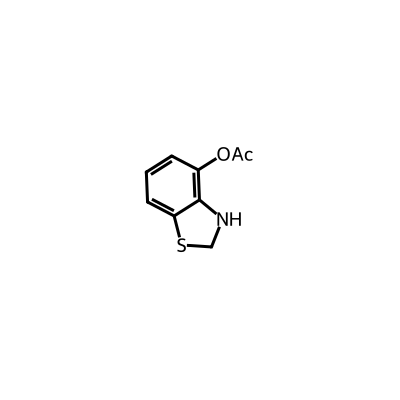 CC(=O)Oc1cccc2c1NCS2